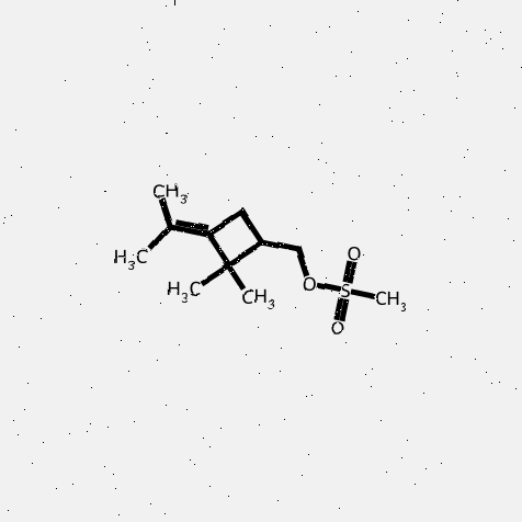 CC(C)=C1CC(COS(C)(=O)=O)C1(C)C